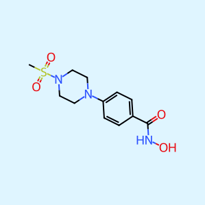 CS(=O)(=O)N1CCN(c2ccc(C(=O)NO)cc2)CC1